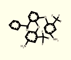 Nc1ccc(Oc2cccc(C(=O)c3ccccc3)c2Oc2ccc(N)cc2C(F)(F)F)c(C(F)(F)F)c1